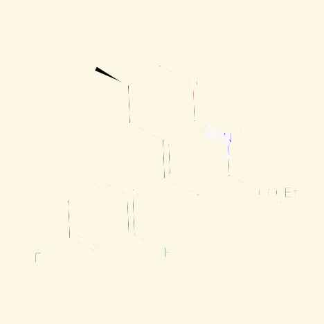 CCOC(=O)c1cc(-c2ccc(F)cc2F)c2c(n1)OC[C@H](C)C2